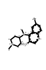 CCOC(=O)c1cnc2ccc(Br)cc2c1N(C)C1CCN(C)CC1